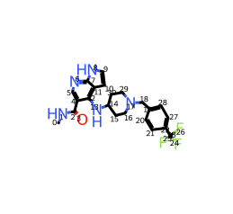 CNC(=O)c1cnc2[nH]ccc2c1NC1CCN(Cc2ccc(C(F)(F)F)cc2)CC1